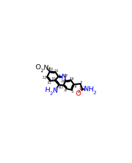 NC(=O)Cc1ccc2c(N)c3ccc([N+](=O)[O-])cc3nc2c1